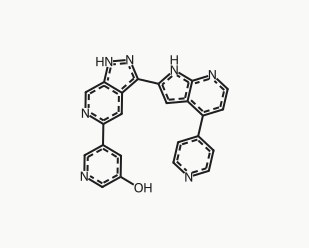 Oc1cncc(-c2cc3c(-c4cc5c(-c6ccncc6)ccnc5[nH]4)n[nH]c3cn2)c1